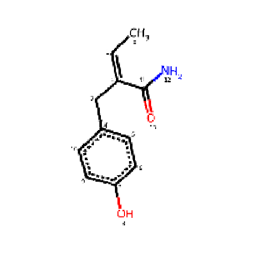 CC=C(Cc1ccc(O)cc1)C(N)=O